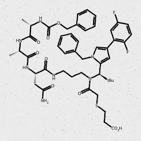 C[C@H](NC(=O)OCc1ccccc1)C(=O)N[C@@H](C)C(=O)N[C@@H](CC(N)=O)C(=O)NCCCN(C(=O)CSCCC(=O)O)[C@@H](c1cc(-c2cc(F)ccc2F)cn1Cc1ccccc1)C(C)(C)C